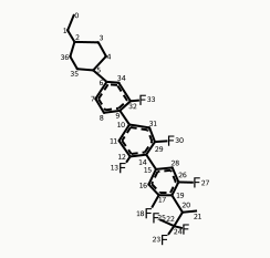 CCC1CCC(c2ccc(-c3cc(F)c(-c4cc(F)c(C(C)C(F)(F)F)c(F)c4)c(F)c3)c(F)c2)CC1